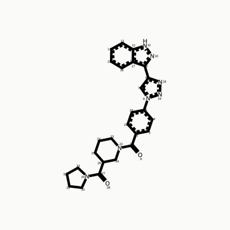 O=C(c1ccc(-n2cc(-c3n[nH]c4ccccc34)nn2)cc1)N1CCCC(C(=O)N2CCCC2)C1